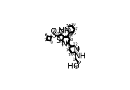 Nc1c([S+]([O-])C2CCC2)sc2nc(-c3ccc(NCCO)nc3)cc(C3=CC=CCN3)c12